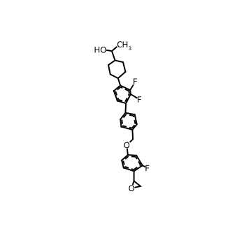 CC(O)C1CCC(c2ccc(-c3ccc(COc4ccc(C5CO5)c(F)c4)cc3)c(F)c2F)CC1